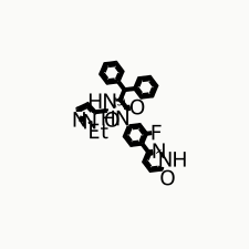 CCn1nccc1C(=O)N[C@H](C(=O)Nc1ccc(-c2ccc(=O)[nH]n2)c(F)c1)C(c1ccccc1)c1ccccc1